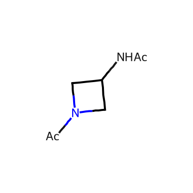 CC(=O)NC1CN(C(C)=O)C1